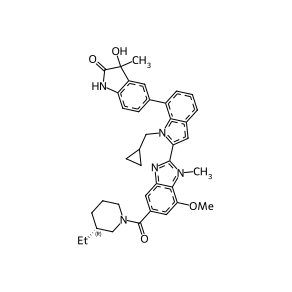 CC[C@@H]1CCCN(C(=O)c2cc(OC)c3c(c2)nc(-c2cc4cccc(-c5ccc6c(c5)C(C)(O)C(=O)N6)c4n2CC2CC2)n3C)C1